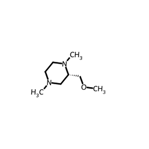 COC[C@@H]1CN(C)CCN1C